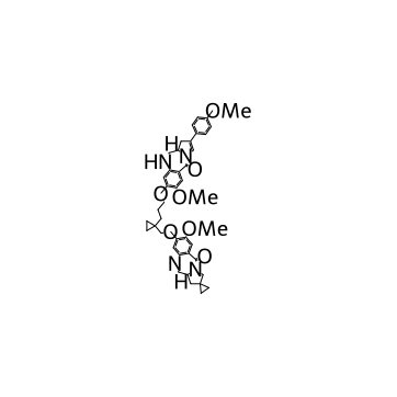 COc1ccc(C2=CN3C(=O)c4cc(OC)c(OCCCC5(COc6cc7c(cc6OC)C(=O)N6CC8(CC8)C[C@H]6C=N7)CC5)cc4NC[C@@H]3C2)cc1